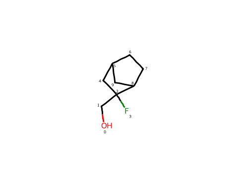 OCC1(F)CC2CCC1C2